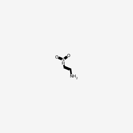 NC=C[SH](=O)=O